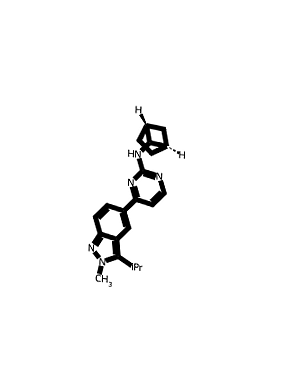 CC(C)c1c2cc(-c3ccnc(NC4[C@@H]5CC[C@@H]4C5)n3)ccc2nn1C